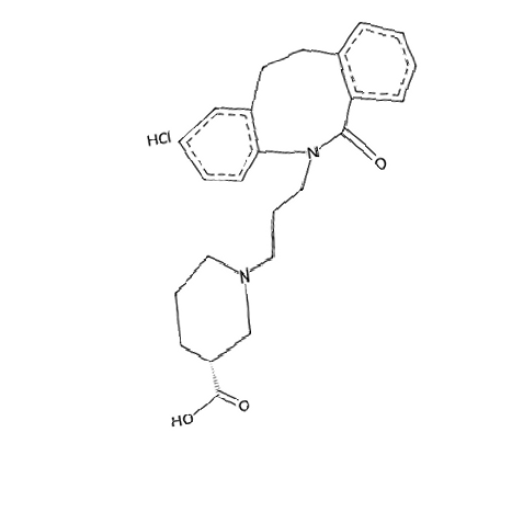 Cl.O=C(O)[C@@H]1CCCN(CCCN2C(=O)c3ccccc3CCc3ccccc32)C1